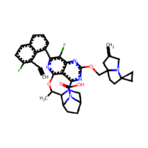 C#Cc1c(F)ccc2cccc(-c3nc4c5c(nc(OCC67CCC8(CC8)N6CC(=C)C7)nc5c3F)N3CC5CCC(C3C(C)O4)N5C(=O)O)c12